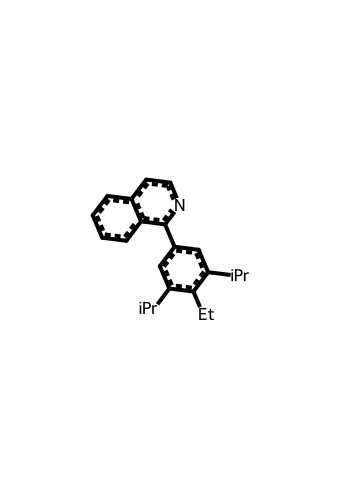 CCc1c(C(C)C)cc(-c2nccc3ccccc23)cc1C(C)C